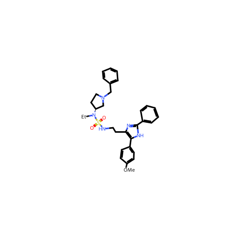 CCN([C@@H]1CCN(Cc2ccccc2)C1)S(=O)(=O)NCCc1nc(-c2ccccc2)[nH]c1-c1ccc(OC)cc1